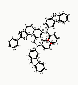 c1ccc(-c2nc3ccc4cc(N(c5ccccc5)c5ccc6oc7ccccc7c6c5)cc(CN(c5ccccc5)c5ccc6oc7ccccc7c6c5)c4c3o2)cc1